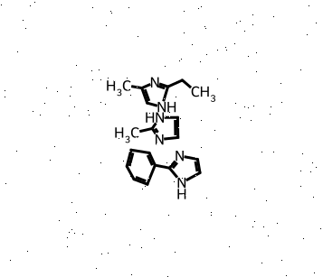 CCc1nc(C)c[nH]1.Cc1ncc[nH]1.c1ccc(-c2ncc[nH]2)cc1